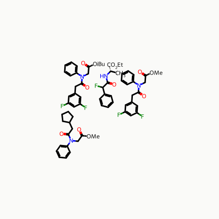 CC(C)COC(=O)CN(C(=O)Cc1cc(F)cc(F)c1)c1ccccc1.CCOC(=O)[C@H](C)NC(=O)C(F)c1ccccc1.COC(=O)CN(C(=O)CC1CCCC1)c1ccccc1.COC(=O)CN(C(=O)Cc1cc(F)cc(F)c1)c1ccccc1